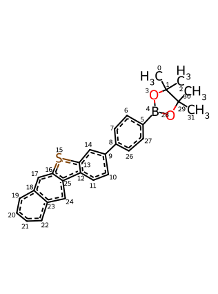 CC1(C)OB(c2ccc(-c3ccc4c(c3)sc3cc5ccccc5cc34)cc2)OC1(C)C